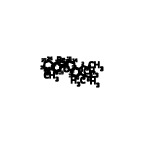 CCCc1c(C(C)(C)CC)ccc2c1C=C[C@@](Br)(c1ccc3c(c1)CCCN3C)O2